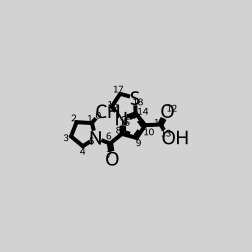 CC1CCCN1C(=O)c1cc(C(=O)O)c2n1CCS2